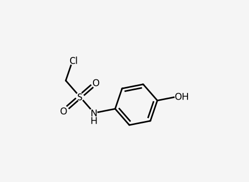 O=S(=O)(CCl)Nc1ccc(O)cc1